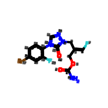 NC(=O)OC/C(=C/F)Cn1ncn(-c2ccc(Br)cc2F)c1=O